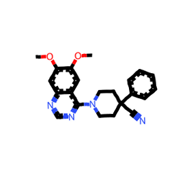 COc1cc2ncnc(N3CCC(C#N)(c4ccccc4)CC3)c2cc1OC